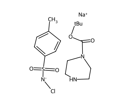 CC(C)(C)OC(=O)N1CCNCC1.Cc1ccc(S(=O)(=O)[N-]Cl)cc1.[Na+]